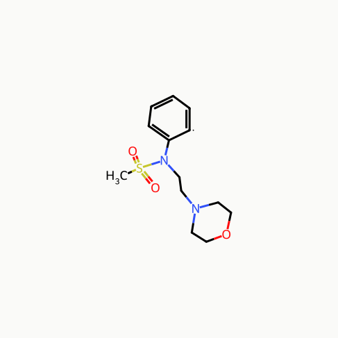 CS(=O)(=O)N(CCN1CCOCC1)c1[c]cccc1